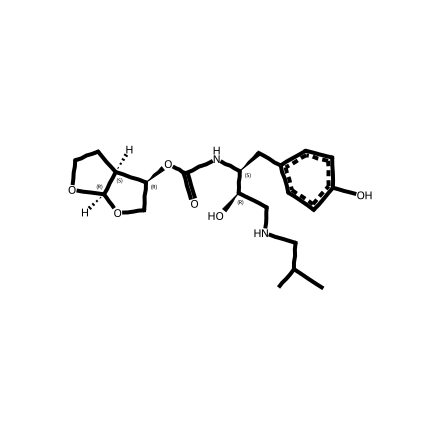 CC(C)CNC[C@@H](O)[C@H](Cc1ccc(O)cc1)NC(=O)O[C@H]1CO[C@H]2OCC[C@H]21